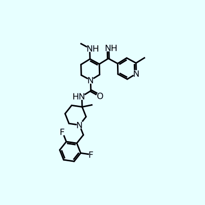 CNC1=C(C(=N)c2ccnc(C)c2)CN(C(=O)NC2(C)CCCN(Cc3c(F)cccc3F)C2)CC1